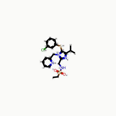 CCS(=O)(=O)NCc1nc(C(C)C)c(Sc2cccc(Cl)c2)n1Cc1ccccn1